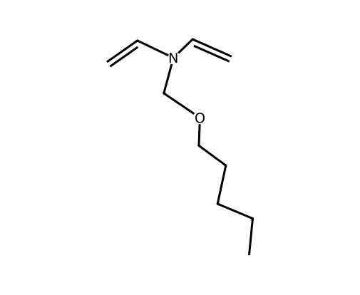 C=CN(C=C)COCCCCC